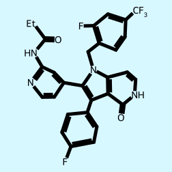 CCC(=O)Nc1cc(-c2c(-c3ccc(F)cc3)c3c(=O)[nH]ccc3n2Cc2ccc(C(F)(F)F)cc2F)ccn1